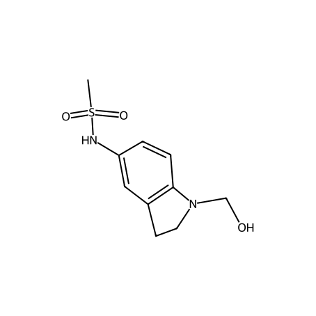 CS(=O)(=O)Nc1ccc2c(c1)CCN2CO